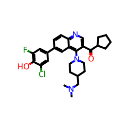 CN(C)CC1CCN(c2c(C(=O)C3CCCC3)cnc3ccc(-c4cc(F)c(O)c(Cl)c4)cc23)CC1